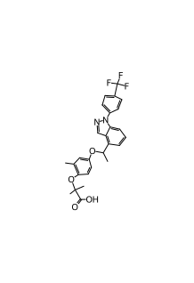 Cc1cc(OC(C)c2cccc3c2cnn3-c2ccc(C(F)(F)F)cc2)ccc1OC(C)(C)C(=O)O